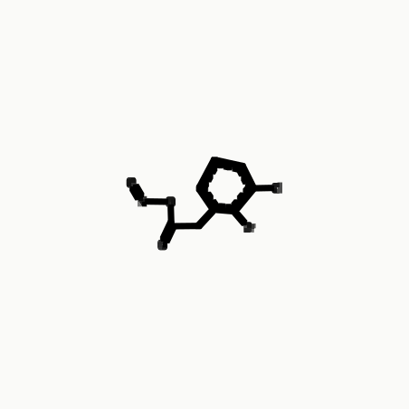 O=NOC(=O)Cc1cccc(Cl)c1Br